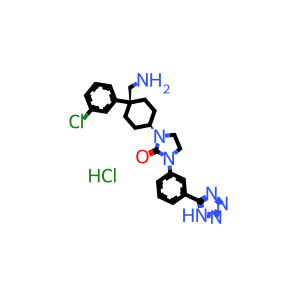 Cl.NC[C@]1(c2cccc(Cl)c2)CC[C@@H](N2CCN(c3cccc(-c4nnn[nH]4)c3)C2=O)CC1